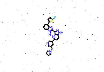 Fc1ccc(-c2cccc3[nH]c(-c4n[nH]c5ccc(-c6cncc(CN7CCCC7)c6)nc45)nc23)s1